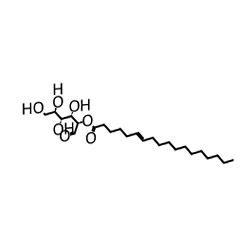 CCCCCCCCCCCC=CCCCCC(=O)O[C@@H](C=O)[C@@H](O)[C@H](O)[C@H](O)CO